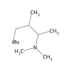 CCC(C)CC(C)C(C)N(C)C